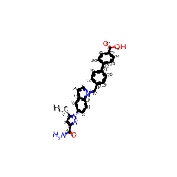 Cc1cc(C(N)=O)nn1-c1ccc2c(ccn2Cc2ccc(-c3ccc(C(=O)O)cc3)cc2)c1